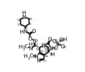 CN/C(=N\OC(=O)NC1CCNCC1)[C@@H]1c2c(cnn2C)[C@H]2CN1C(=O)N2OS(=O)(=O)O